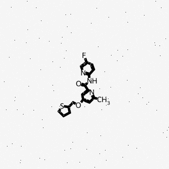 Cc1cc(OCC2CCCS2)cc(C(=O)Nc2ccc(F)cn2)n1